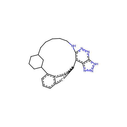 c1cc2c3ccc(cc3c1)-c1c(nnc3[nH]nnc13)NCCCCCC1CCCC2C1